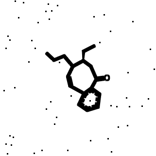 CCCC1/C=C\c2ccccc2C(=O)C[C@@H]1CC